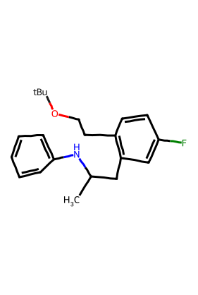 CC(Cc1cc(F)ccc1CCOC(C)(C)C)Nc1ccccc1